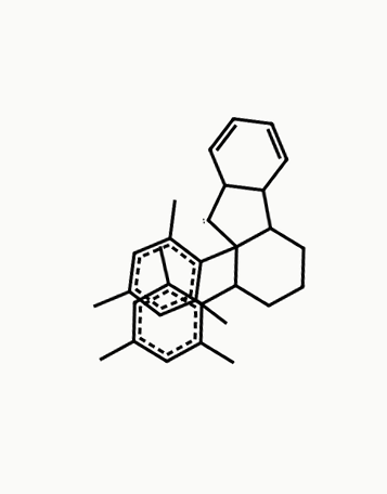 Cc1cc(C)c(C2CCCC3C4C=CC=CC4[C]C23c2c(C)cc(C)cc2C)c(C)c1